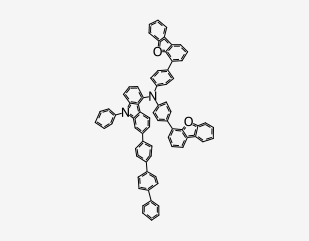 c1ccc(-c2ccc(-c3ccc(-c4ccc5c6c(N(c7ccc(-c8cccc9c8oc8ccccc89)cc7)c7ccc(-c8cccc9c8oc8ccccc89)cc7)cccc6n(-c6ccccc6)c5c4)cc3)cc2)cc1